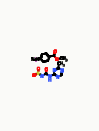 COC(=O)c1ccc(I)cc1.Cc1ncnc(NC(=O)N=S(=O)=O)n1.[NaH]